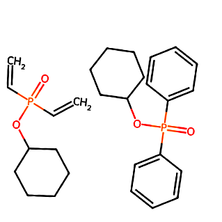 C=CP(=O)(C=C)OC1CCCCC1.O=P(OC1CCCCC1)(c1ccccc1)c1ccccc1